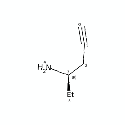 C#CC[C@H](N)CC